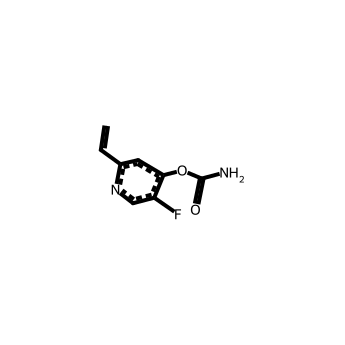 C=Cc1cc(OC(N)=O)c(F)cn1